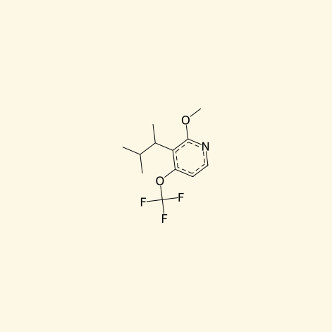 COc1nccc(OC(F)(F)F)c1C(C)C(C)C